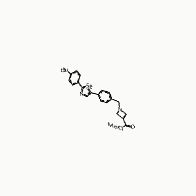 COC(=O)C1CN(Cc2ccc(-c3cnc(-c4ccc(C(C)(C)C)cc4)[se]3)cc2)C1